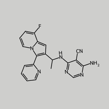 CC(Nc1ncnc(N)c1C#N)c1cc2c(F)cccn2c1-c1ccccn1